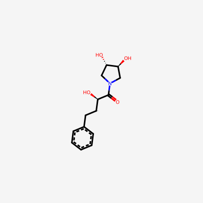 O=C([C@H](O)[CH]Cc1ccccc1)N1C[C@H](O)[C@@H](O)C1